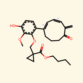 C=C1/C=C\C=C(\c2ccc(O)c(OC)c2OCC2(C(=O)OCCCC)CC2)CCCC1=O